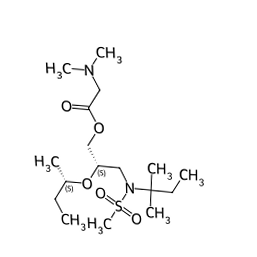 CC[C@H](C)O[C@H](COC(=O)CN(C)C)CN(C(C)(C)CC)S(C)(=O)=O